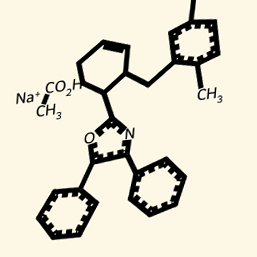 CC(=O)O.Cc1ccc([O-])cc1CC1C=CCCC1c1nc(-c2ccccc2)c(-c2ccccc2)o1.[Na+]